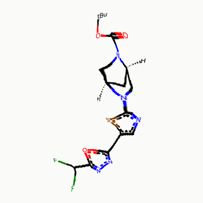 CC(C)(C)OC(=O)N1C[C@H]2C[C@@H]1CN2c1ncc(-c2nnc(C(F)F)o2)s1